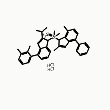 CC1=Cc2c(-c3ccccc3)ccc(C)c2[CH]1[Zr]([CH3])([CH3])(=[SiH2])[CH]1C(C(C)C)=Cc2c(-c3cccc(C)c3C)cccc21.Cl.Cl